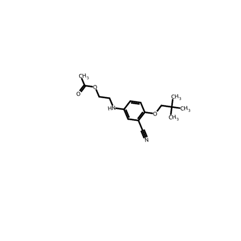 CC(=O)OCCNc1ccc(OCC(C)(C)C)c(C#N)c1